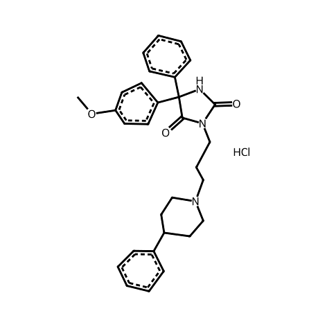 COc1ccc(C2(c3ccccc3)NC(=O)N(CCCN3CCC(c4ccccc4)CC3)C2=O)cc1.Cl